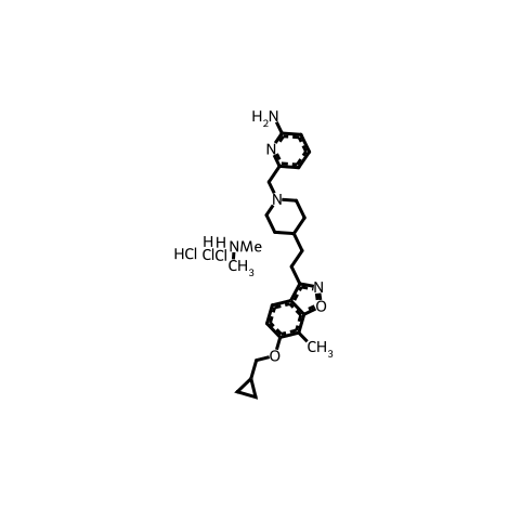 CNC.Cc1c(OCC2CC2)ccc2c(CCC3CCN(Cc4cccc(N)n4)CC3)noc12.Cl.Cl.Cl